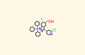 OCc1cc2c(-c3ccnc(Cl)c3)nn(C(c3ccccc3)(c3ccccc3)c3ccccc3)c2cc1F